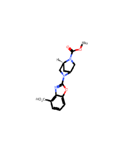 CC(C)(C)OC(=O)N1CC2C[C@H]1CN2c1nc2c(C(=O)O)cccc2o1